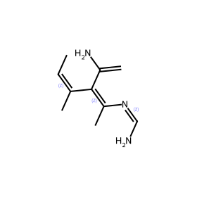 C=C(N)C(/C(C)=C\C)=C(C)\N=C/N